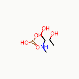 CCO.CNCCO.O=S(O)O